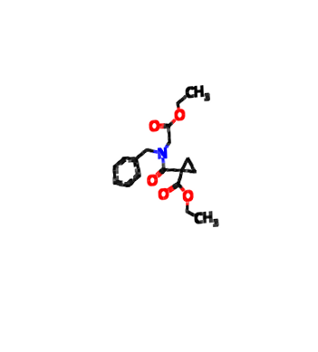 CCOC(=O)CN(Cc1ccccc1)C(=O)C1(C(=O)OCC)CC1